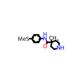 CSc1ccc(NC(=O)C2(C)CCNCC2)cc1